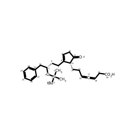 CC(C)(C)[Si](C)(C)O[C@@H](CCC1=CCC(=O)[C@@H]1CCC=C=CCC(=O)O)Cc1ccccc1